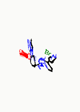 CO/C1=C(n2cnc(C)c2)/C=C\C(c2nc3n(n2)CCC=C3c2ccnc(Br)c2)=C=CC1